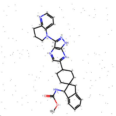 CC(C)(C)OC(=O)NC1c2ccccc2CC12CCC(c1cnc3c(N4CCCc5ncccc54)n[nH]c3n1)CC2